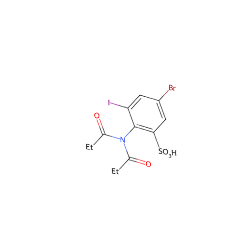 CCC(=O)N(C(=O)CC)c1c(I)cc(Br)cc1S(=O)(=O)O